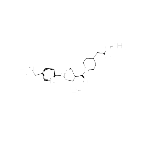 COC(=O)CC1CCN(C(=O)C2CCN(c3ccc(CN)cn3)CC2)CC1.Cl.Cl